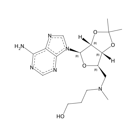 CN(CCCO)C[C@H]1O[C@@H](n2cnc3c(N)ncnc32)[C@@H]2OC(C)(C)O[C@@H]21